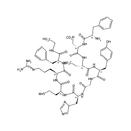 CSCC[C@H](NC(=O)[C@H](CC1C=NC=N1)NC(=O)CNC(=O)[C@H](Cc1ccc(O)cc1)NC(=O)[C@H](CC(=O)O)NC(=O)[C@H](CC(=O)O)NC(=O)[C@@H](N)Cc1ccccc1)C(=O)N[C@@H](CCCN=C(N)N)C(=O)N[C@@H](Cc1ccccc1)C(=O)NCC(=O)O